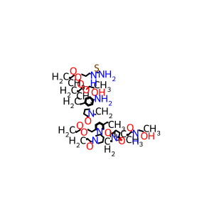 C=C(C)C(=O)NCC(C)O.C=C(C)C(=O)OCC(C)O.C=C(C)C(=O)OCCCNC(N)=S.C=CC(=O)N1CCCCC1.C=CC(=O)OCCc1ccc(CC)cn1.C=CN1C(=O)CCC1=O.C=CN1CCCC1=O.C=Cc1ccc(N)cc1